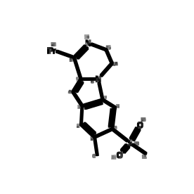 Cc1cc2cc3n(c2cc1S(C)(=O)=O)CCN=C3C(C)C